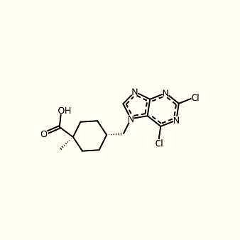 C[C@]1(C(=O)O)CC[C@H](Cn2cnc3nc(Cl)nc(Cl)c32)CC1